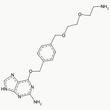 NCCOCCOCc1ccc(COc2nc(N)nc3[nH]cnc23)cc1